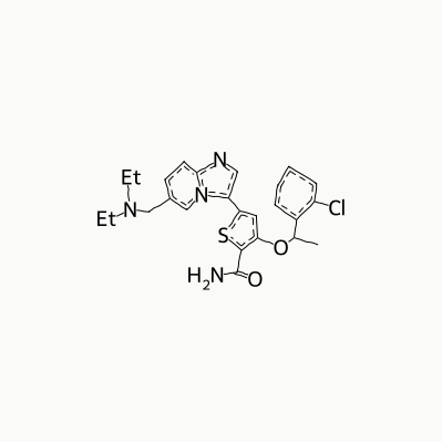 CCN(CC)Cc1ccc2ncc(-c3cc(OC(C)c4ccccc4Cl)c(C(N)=O)s3)n2c1